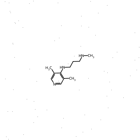 CNCCCNc1c(C)cncc1C